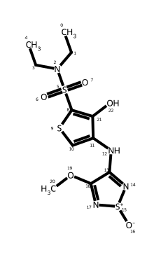 CCN(CC)S(=O)(=O)c1scc(Nc2n[s+]([O-])nc2OC)c1O